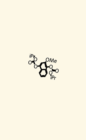 COc1cc(OC(=O)OC(C)C)c2ccccc2c1OC(=O)OC(C)C